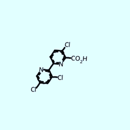 O=C(O)c1nc(-c2ncc(Cl)cc2Cl)ccc1Cl